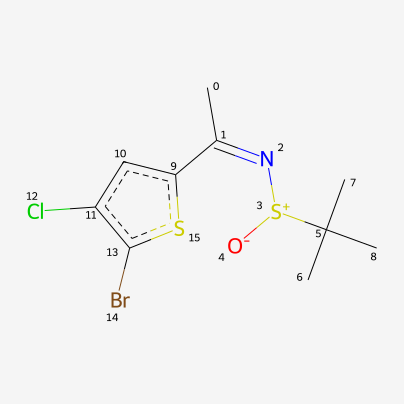 C/C(=N/[S+]([O-])C(C)(C)C)c1cc(Cl)c(Br)s1